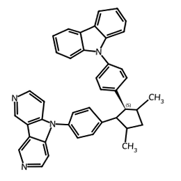 CC1CC(C)[C@H](c2ccc(-n3c4ccccc4c4ccccc43)cc2)C1c1ccc(-n2c3ccncc3c3cnccc32)cc1